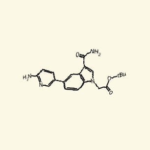 CC(C)(C)OC(=O)Cn1cc(C(N)=O)c2cc(-c3ccc(N)nc3)ccc21